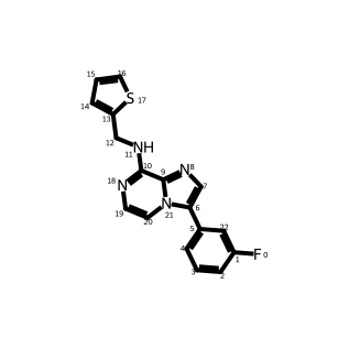 Fc1cccc(-c2cnc3c(NCc4cccs4)nccn23)c1